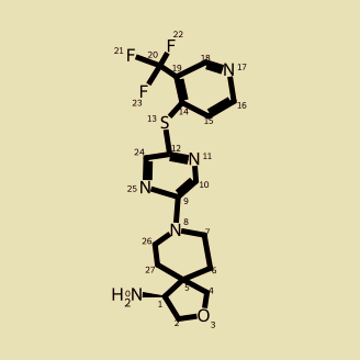 N[C@@H]1COCC12CCN(c1cnc(Sc3ccncc3C(F)(F)F)cn1)CC2